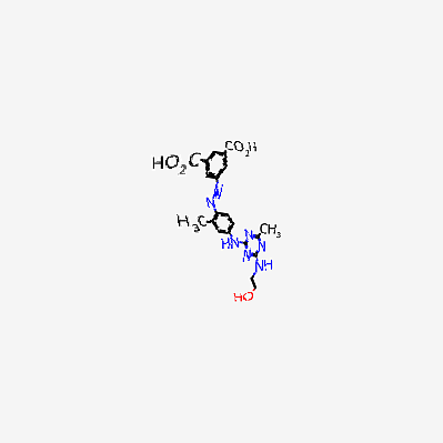 Cc1nc(NCCO)nc(Nc2ccc(N=Nc3cc(C(=O)O)cc(C(=O)O)c3)c(C)c2)n1